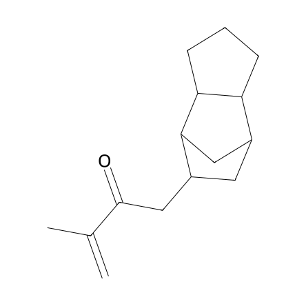 C=C(C)C(=O)CC1CC2CC1C1CCCC21